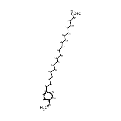 C=Cc1ccc(CCCCCCCCCCCCCCCCCCCCCCCCCCCCCC)cc1